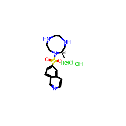 C[C@@H]1CNCCNCCN1S(=O)(=O)c1ccc2cnccc2c1.Cl.Cl.Cl